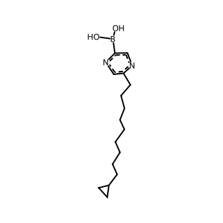 OB(O)c1cnc(CCCCCCCCCC2CC2)cn1